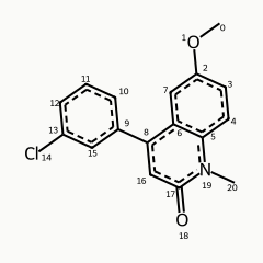 COc1ccc2c(c1)c(-c1cccc(Cl)c1)cc(=O)n2C